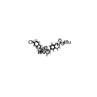 CC(C)(C)OC(=O)N1CCc2cc(N3CC[C@H](NS(=O)(=O)C4=CC5C=CC(Cl)=CC5S4)C3=O)ccc2C1